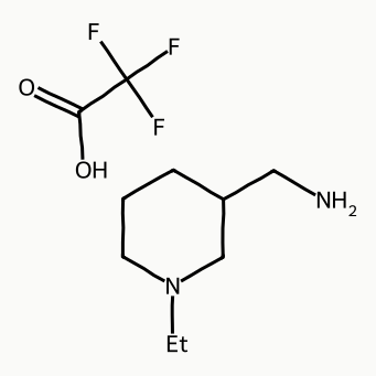 CCN1CCCC(CN)C1.O=C(O)C(F)(F)F